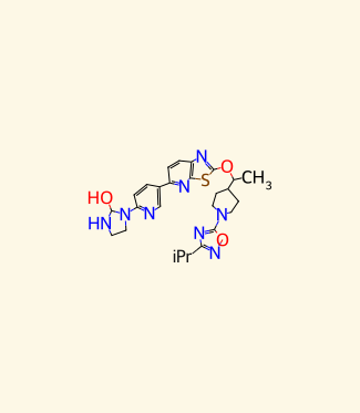 CC(C)c1noc(N2CCC(C(C)Oc3nc4ccc(-c5ccc(N6CCNC6O)nc5)nc4s3)CC2)n1